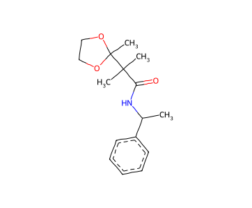 CC(NC(=O)C(C)(C)C1(C)OCCO1)c1ccccc1